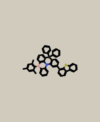 Cc1cc(C)c(B2c3ccccc3N3c4cc(-c5cccc6c5sc5ccccc56)ccc4[Si](c4ccccc4)(c4ccccc4)c4cccc2c43)c(C)c1